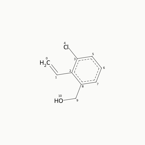 C=Cc1c(Cl)cccc1CO